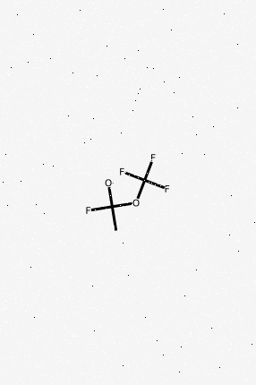 CC([O])(F)OC(F)(F)F